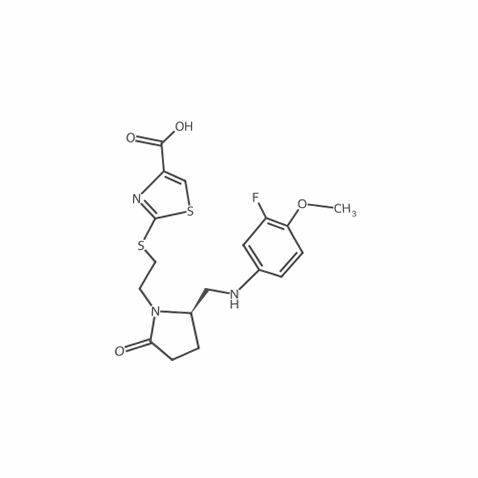 COc1ccc(NC[C@H]2CCC(=O)N2CCSc2nc(C(=O)O)cs2)cc1F